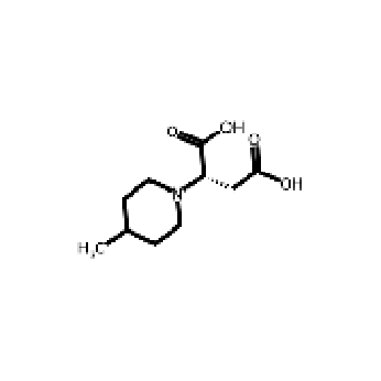 CC1CCN([C@@H](CC(=O)O)C(=O)O)CC1